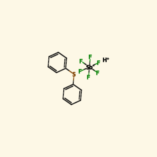 [F][Sb-]([F])([F])([F])([F])[F].[H+].c1ccc(Sc2ccccc2)cc1